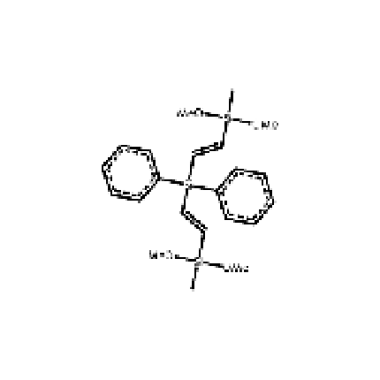 CO[Si](C)(C=C[Si](C=C[Si](C)(OC)OC)(c1ccccc1)c1ccccc1)OC